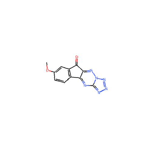 COc1ccc2c(c1)C(=O)c1nn3nnnc3nc1-2